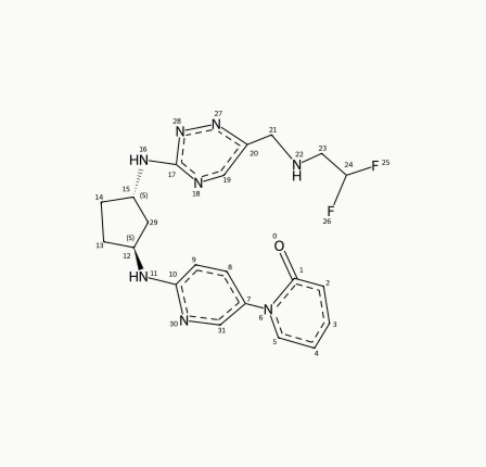 O=c1ccccn1-c1ccc(N[C@H]2CC[C@H](Nc3ncc(CNCC(F)F)nn3)C2)nc1